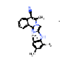 Cc1cc(C)c(Nc2cn3c(C)c(C#N)c4ccccc4c3n2)c(C)c1